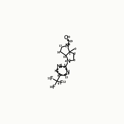 CC12CCN(c3ncc(C(F)(F)F)cn3)C1CCN2C=O